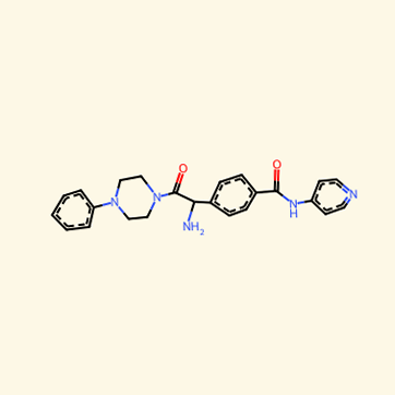 NC(C(=O)N1CCN(c2ccccc2)CC1)c1ccc(C(=O)Nc2ccncc2)cc1